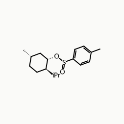 Cc1ccc(S(=O)O[C@H]2C[C@@H](C)CC[C@@H]2C(C)C)cc1